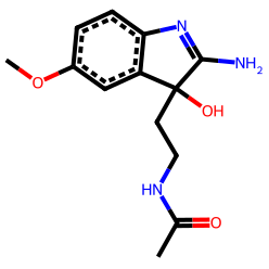 COc1ccc2c(c1)C(O)(CCNC(C)=O)C(N)=N2